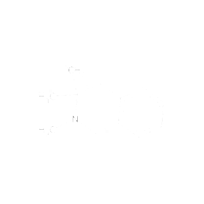 CN1Cc2c[c]ccc2CC1(C)C